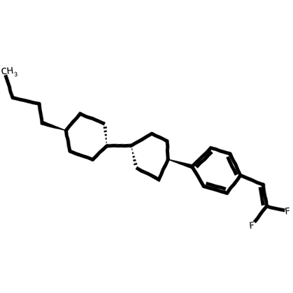 CCCC[C@H]1CC[C@H]([C@H]2CC[C@H](c3ccc(C=C(F)F)cc3)CC2)CC1